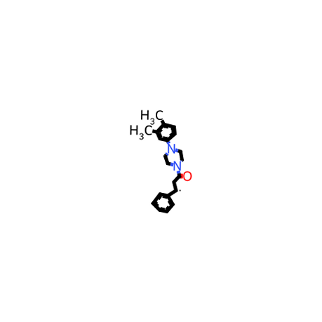 Cc1ccc(N2CCN(C(=O)C[CH]c3ccccc3)CC2)cc1C